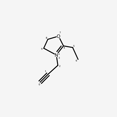 C#CC[N+]1=C(CC)OCC1